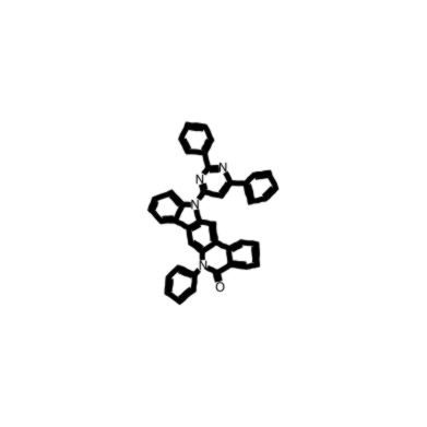 O=c1c2ccccc2c2cc3c(cc2n1-c1ccccc1)c1ccccc1n3-c1cc(-c2ccccc2)nc(-c2ccccc2)n1